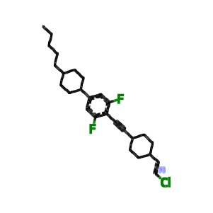 CCCCCC1CCC(c2cc(F)c(C#CC3CCC(/C=C/Cl)CC3)c(F)c2)CC1